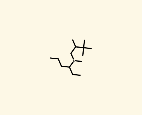 CCCC(CC)N(C)CC(C)C(C)(C)C